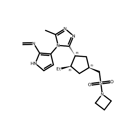 C=Nc1[nH]ccc1-n1c(C)nnc1[C@@H]1C[C@@H](CS(=O)(=O)N2CCC2)C[C@H]1CC